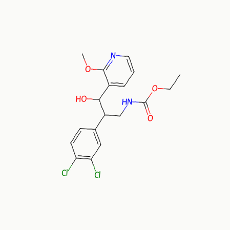 CCOC(=O)NCC(c1ccc(Cl)c(Cl)c1)C(O)c1cccnc1OC